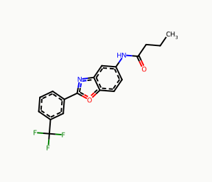 CCCC(=O)Nc1ccc2oc(-c3cccc(C(F)(F)F)c3)nc2c1